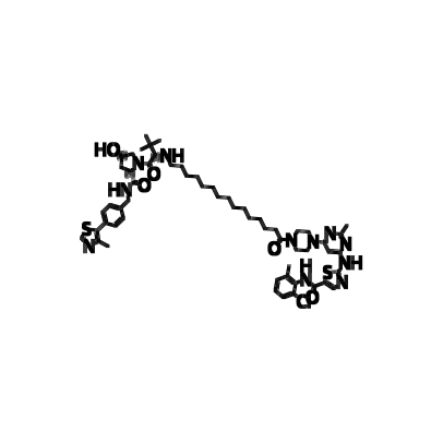 Cc1nc(Nc2ncc(C(=O)Nc3c(C)cccc3Cl)s2)cc(N2CCN(C(=O)CCCCCCCCCCCCCCN[C@H](C(=O)N3C[C@H](O)C[C@H]3C(=O)NCc3ccc(-c4scnc4C)cc3)C(C)(C)C)CC2)n1